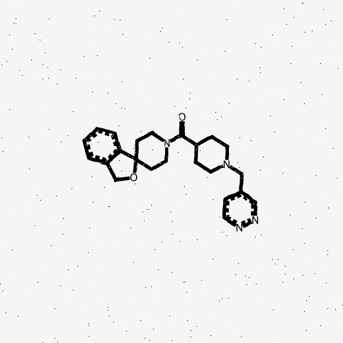 O=C(C1CCN(Cc2ccnnc2)CC1)N1CCC2(CC1)OCc1ccccc12